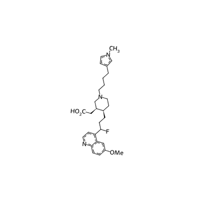 COc1ccc2nccc(C(F)CC[C@@H]3CCN(CCCCc4ccn(C)c4)C[C@@H]3CC(=O)O)c2c1